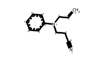 C=CCN(CCC#N)c1ccccc1